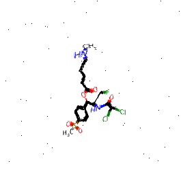 CNCCCCC(=O)O[C@H](c1ccc(S(C)(=O)=O)cc1)[C@@H](CF)NC(=O)C(Cl)Cl